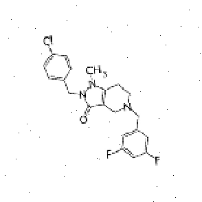 Cn1c2c(c(=O)n1Cc1ccc(Cl)cc1)CN(Cc1cc(F)cc(F)c1)CC2